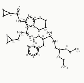 CCOC(CNC(N[C@H]1CCc2sc(NC(=O)C3CC3)c(C(=O)NCC3CC3)c2C1)N(CC)Cc1ccccc1)OCC